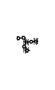 Cc1cc(C)nc(-c2ccc(-c3nc(-c4cccc(-c5ccccc5)c4)nc(-c4cccc(-c5nc(C)cc(C)n5)c4)n3)cc2)n1